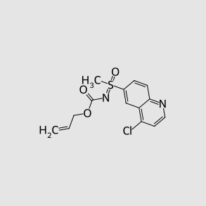 C=CCOC(=O)N=S(C)(=O)c1ccc2nccc(Cl)c2c1